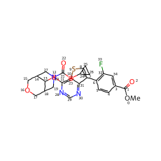 COC(=O)c1ccc(-c2csc3c(OC4C5COCC4CN(C(=O)OC4CC4)C5)ncnc23)c(F)c1